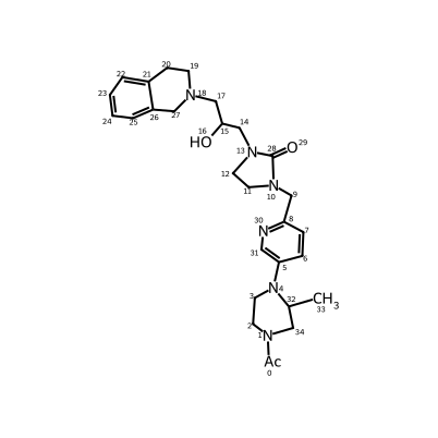 CC(=O)N1CCN(c2ccc(CN3CCN(CC(O)CN4CCc5ccccc5C4)C3=O)nc2)C(C)C1